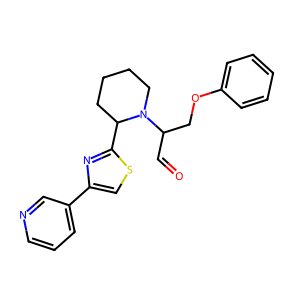 O=CC(COc1ccccc1)N1CCCCC1c1nc(-c2cccnc2)cs1